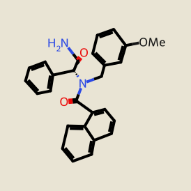 COc1cccc(CN(C(=O)c2cccc3ccccc23)[C@@H](C(N)=O)c2ccccc2)c1